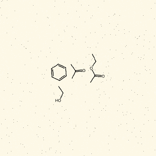 CC(C)=O.CCO.CCOC(C)=O.c1ccccc1